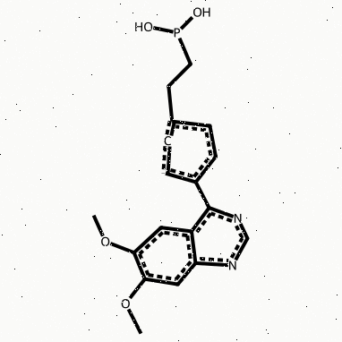 COc1cc2ncnc(-c3ccc(CCP(O)O)cc3)c2cc1OC